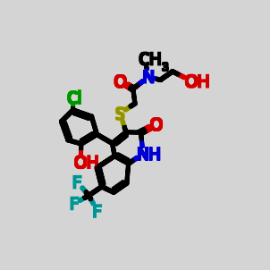 CN(CCO)C(=O)CSc1c(-c2cc(Cl)ccc2O)c2cc(C(F)(F)F)ccc2[nH]c1=O